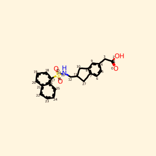 O=C(O)Cc1ccc2c(c1)CC(CNS(=O)(=O)c1cccc3ccccc13)C2